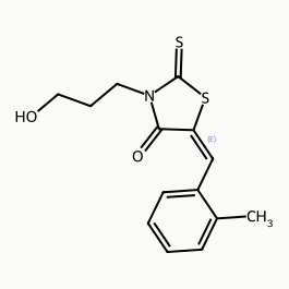 Cc1ccccc1/C=C1/SC(=S)N(CCCO)C1=O